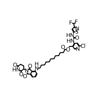 O=C1CCC(N2C(=O)c3cccc(NCCCCCCCCCCCC(=O)OCc4cnc(Cl)cc4NC(=O)Nc4cc(C(F)F)ns4)c3C2=O)C(=O)N1